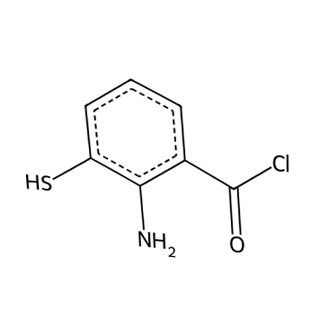 Nc1c(S)cccc1C(=O)Cl